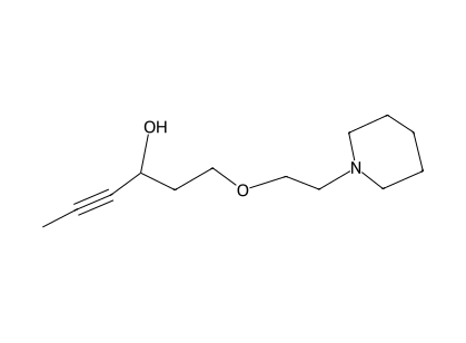 CC#CC(O)CCOCCN1CCCCC1